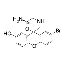 N[C@H]1CNCC2(O1)c1cc(O)ccc1Oc1ccc(Br)cc12